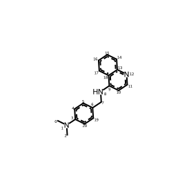 CN(C)c1ccc(CNc2ccnc3ccccc23)cc1